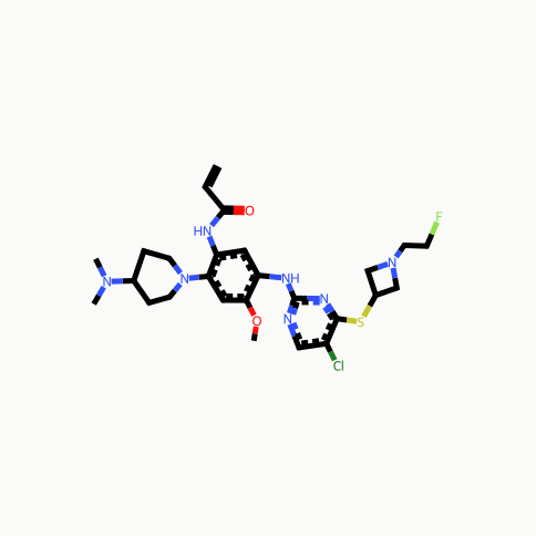 C=CC(=O)Nc1cc(Nc2ncc(Cl)c(SC3CN(CCF)C3)n2)c(OC)cc1N1CCC(N(C)C)CC1